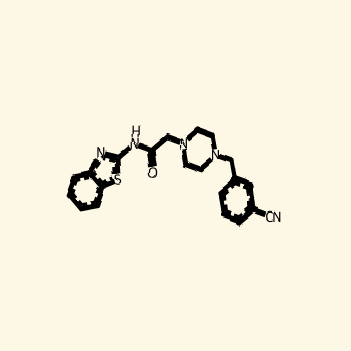 N#Cc1cccc(CN2CCN(CC(=O)Nc3nc4ccccc4s3)CC2)c1